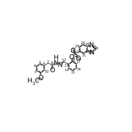 COc1cccc(CC(=O)NN=Cc2ccccc2OS(=O)(=O)c2ccc3nsnc3c2)c1